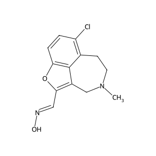 CN1CCc2c(Cl)ccc3oc(C=NO)c(c23)C1